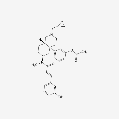 CC(=O)Oc1cccc([C@@]23CCN(CC4CC4)C[C@H]2CC[C@H](N(C)C(=O)C=Cc2cccc(O)c2)C3)c1